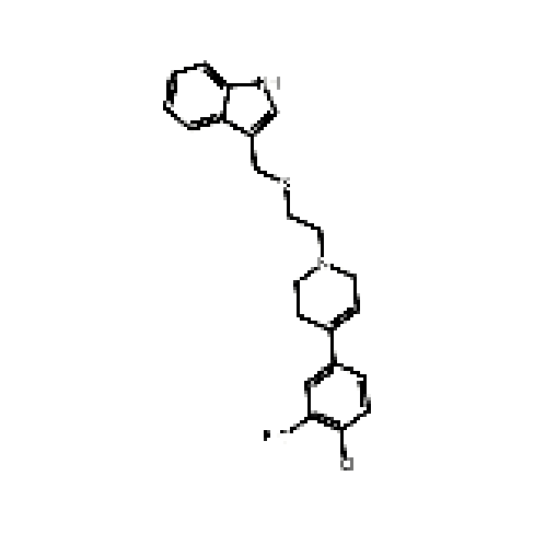 FC(F)(F)c1cc(C2=CCN(CCSCc3c[nH]c4ccccc34)CC2)ccc1Cl